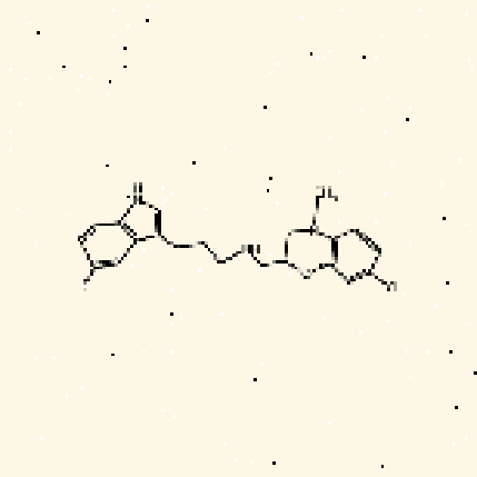 CN1CC(CNCCCc2c[nH]c3ccc(F)cc23)Oc2cc(Cl)ccc21